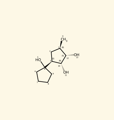 C[C@@H]1C[C@H](C2(O)CCCC2)[C@@H](O)[C@H]1O